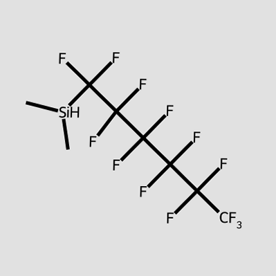 C[SiH](C)C(F)(F)C(F)(F)C(F)(F)C(F)(F)C(F)(F)C(F)(F)F